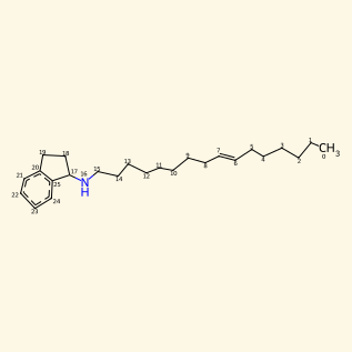 CCCCCCC=CCCCCCCCCNC1CCc2ccccc21